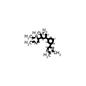 C=C\N=C/C(=N\C=C)C(/C=C)=C/C(=C\C)c1cccc(C(/C=N\C=C)=N/C=C)c1